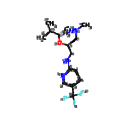 CNC[C@@H](CNc1ccc(C(F)(F)F)cn1)O[C@@H](C)C(C)C